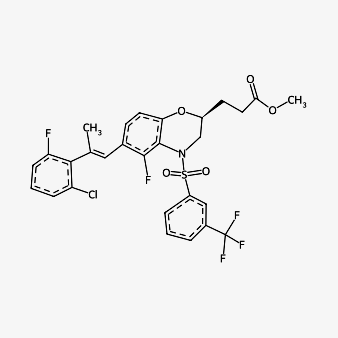 COC(=O)CC[C@H]1CN(S(=O)(=O)c2cccc(C(F)(F)F)c2)c2c(ccc(/C=C(\C)c3c(F)cccc3Cl)c2F)O1